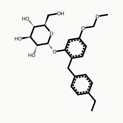 CCc1ccc(Cc2ccc(OCOC)cc2O[C@H]2O[C@H](CO)[C@@H](O)[C@H](O)[C@H]2O)cc1